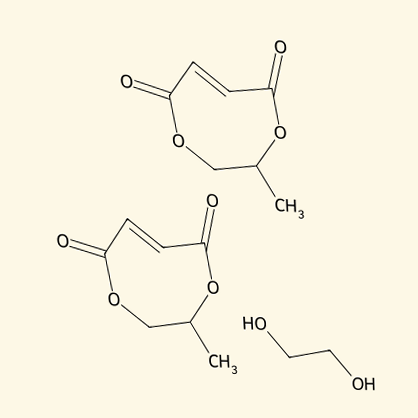 CC1COC(=O)/C=C/C(=O)O1.CC1COC(=O)/C=C/C(=O)O1.OCCO